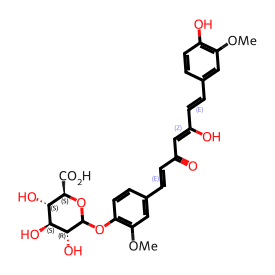 COc1cc(/C=C/C(O)=C/C(=O)/C=C/c2ccc(OC3O[C@H](C(=O)O)[C@@H](O)[C@H](O)[C@H]3O)c(OC)c2)ccc1O